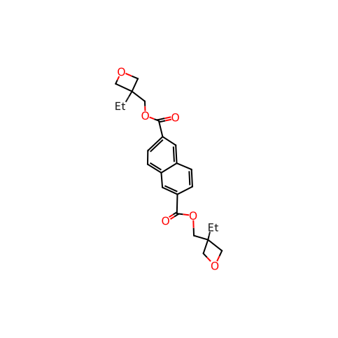 CCC1(COC(=O)c2ccc3cc(C(=O)OCC4(CC)COC4)ccc3c2)COC1